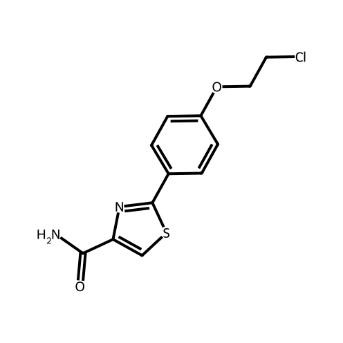 NC(=O)c1csc(-c2ccc(OCCCl)cc2)n1